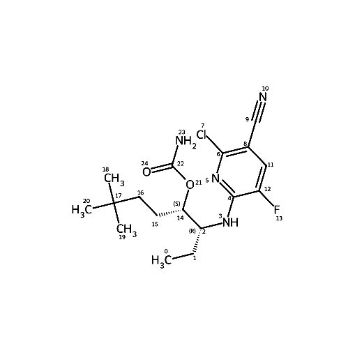 CC[C@@H](Nc1nc(Cl)c(C#N)cc1F)[C@H](CCC(C)(C)C)OC(N)=O